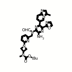 Cc1cnc2ccc(-c3nc(N(C=O)Cc4cccc(N5CC(N(C)C(=O)OC(C)(C)C)C5)n4)c(N)nc3-c3ncco3)cn12